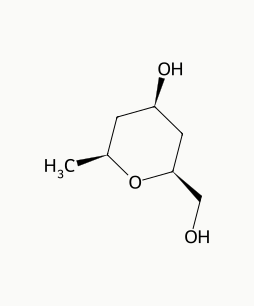 C[C@H]1C[C@@H](O)C[C@@H](CO)O1